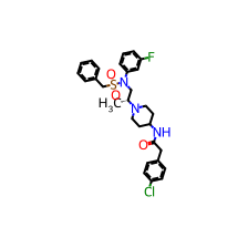 C[C@H](CN(c1cccc(F)c1)S(=O)(=O)Cc1ccccc1)N1CCC(NC(=O)Cc2ccc(Cl)cc2)CC1